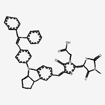 CN1C(=O)/C(=c2\s/c(=C/c3ccc4c(c3)C3CCCC3N4c3ccc(C=C(c4ccccc4)c4ccccc4)cc3)c(=O)n2CC(=O)O)SC1=S